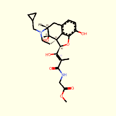 COC(=O)CNC(=O)/C(C)=C(\O)[C@@H]1Oc2c(O)ccc3c2[C@@]12CCN(CC1CC1)[C@H](C3)[C@@]2(C)O